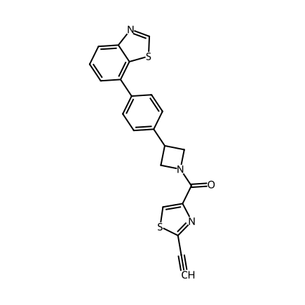 C#Cc1nc(C(=O)N2CC(c3ccc(-c4cccc5ncsc45)cc3)C2)cs1